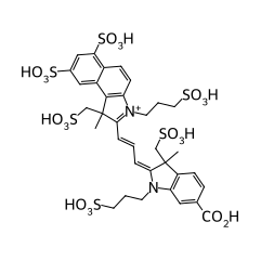 CC1(CS(=O)(=O)O)C(/C=C/C=C2/N(CCCS(=O)(=O)O)c3cc(C(=O)O)ccc3C2(C)CS(=O)(=O)O)=[N+](CCCS(=O)(=O)O)c2ccc3c(S(=O)(=O)O)cc(S(=O)(=O)O)cc3c21